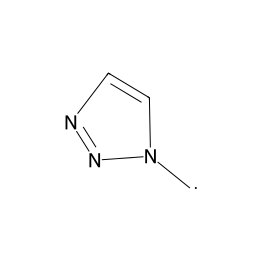 [CH2]n1ccnn1